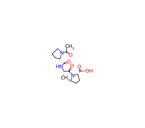 CC(=O)N1CCC[C@H]1C(=O)N[C@@H](C)C(=O)N1CCC[C@H]1C(=O)O